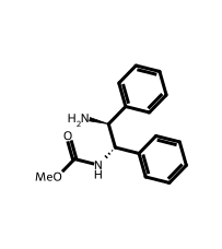 COC(=O)N[C@@H](c1ccccc1)[C@@H](N)c1ccccc1